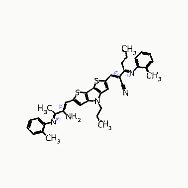 CCCC(=N\c1ccccc1C)/C(C#N)=C/c1cc2c(s1)c1sc(/C=C(N)/C(C)=N/c3ccccc3C)cc1n2CCC